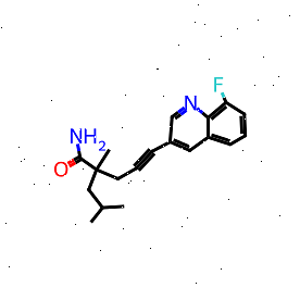 CC(C)CC(C)(CC#Cc1cnc2c(F)cccc2c1)C(N)=O